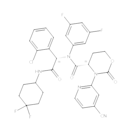 N#Cc1ccnc(N2C(=O)OCC[C@H]2C(=O)N(c2cc(F)cc(F)c2)[C@H](C(=O)NC2CCC(F)(F)CC2)c2ccccc2Cl)c1